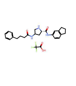 O=C(CCCc1ccccc1)NC1CN[C@H](C(=O)Nc2ccc3c(c2)CCC3)C1.O=C(O)C(F)(F)F